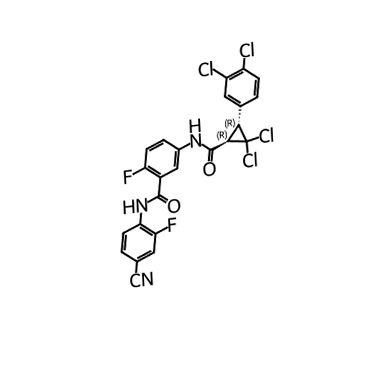 N#Cc1ccc(NC(=O)c2cc(NC(=O)[C@H]3[C@H](c4ccc(Cl)c(Cl)c4)C3(Cl)Cl)ccc2F)c(F)c1